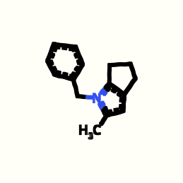 Cc1cc2c(n1Cc1ccccc1)CCC2